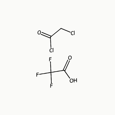 O=C(Cl)CCl.O=C(O)C(F)(F)F